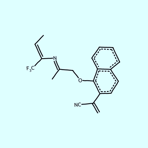 C=C(C#N)c1ccc2ccccc2c1OC/C(C)=N/C(=C\C)C(F)(F)F